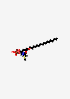 CCCCCCCCCCCCCCCCCOCC(CC(COP(=O)(O)O)[N+](C)(C)C)OCCSC